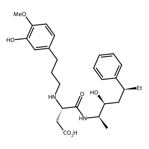 CC[C@@H](C[C@H](O)[C@@H](C)NC(=O)[C@H](CC(=O)O)NCCCc1ccc(OC)c(O)c1)c1ccccc1